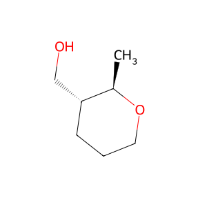 C[C@H]1OCCC[C@@H]1CO